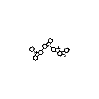 CC1(C)c2cc(-n3c4ccccc4c4ccc(-c5ccc6c7ccccc7n(-c7ccccc7)c6c5)cc43)ccc2-c2ccc3sc4ccccc4c3c21